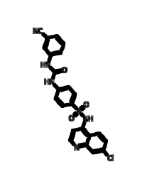 N#Cc1cccc(NC(=O)Nc2ccc(S(=O)(=O)Nc3ccnc4cc(Cl)ccc34)cc2)c1